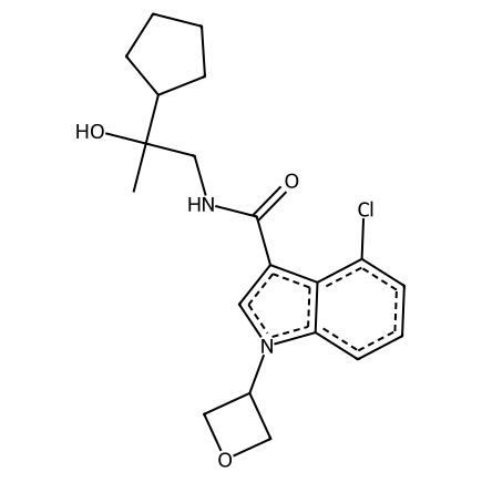 CC(O)(CNC(=O)c1cn(C2COC2)c2cccc(Cl)c12)C1CCCC1